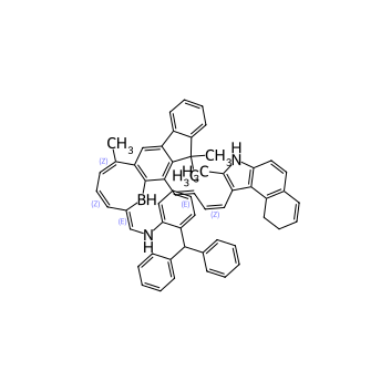 C/C1=C/C=C\C(=C\Nc2ccccc2C(c2ccccc2)c2ccccc2)Bc2c1cc1c(c2/C=C/C=C\c2c(C)[nH]c3ccc4c(c23)CCC=C4)C(C)(C)c2ccccc2-1